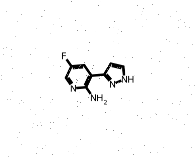 Nc1ncc(F)cc1-c1cc[nH]n1